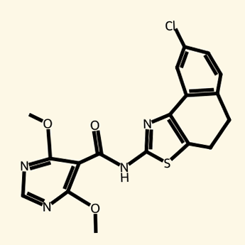 COc1ncnc(OC)c1C(=O)Nc1nc2c(s1)CCc1ccc(Cl)cc1-2